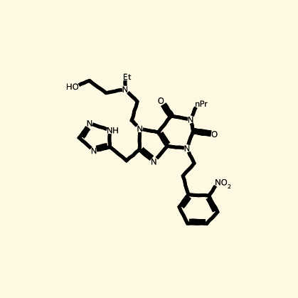 CCCn1c(=O)c2c(nc(Cc3ncn[nH]3)n2CCN(CC)CCO)n(CCc2ccccc2[N+](=O)[O-])c1=O